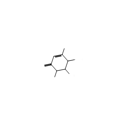 CCOC(=O)C1C(=O)C=C(C)C(C(=O)OCC)C1C